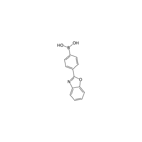 OB(O)c1ccc(-c2nc3ccccc3o2)cc1